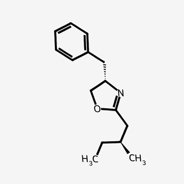 CC[C@H](C)CC1=N[C@@H](Cc2ccccc2)CO1